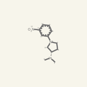 CN(C)[C@H]1CCN(c2cccc([N+](=O)[O-])c2)C1